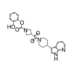 O=C(Oc1ccccc1O)N1CC(S(=O)(=O)N2CCC(c3c[nH]c4ncccc34)CC2)C1